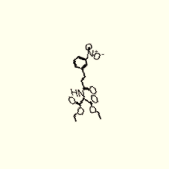 CCOC(=O)C(NC(=O)CCc1cccc([N+](=O)[O-])c1)C(=O)OCC